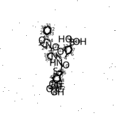 O=C(N[C@@H](Cc1ccc(B(O)O)cc1)C(=O)N1CCC[C@H]1C(=O)N1CCO[C@H](c2ccccc2)C1)c1cc2cc(C(F)(F)P(=O)(O)O)ccc2s1